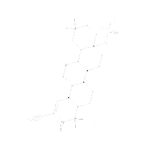 CC1(C)CCC2(NS(C)(=O)=O)CCC3(C)C(C(=O)C=C4C5(C)C=C(C#N)C(=O)C(C)(C)C5CCC43C)C2C1